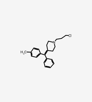 Cc1ccc(C(=C2CCN(CCCCl)CC2)c2ccccc2)cc1